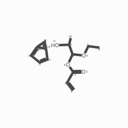 C=CC(=O)OC(OCC)C(C)O.c1cc2cc-2c1